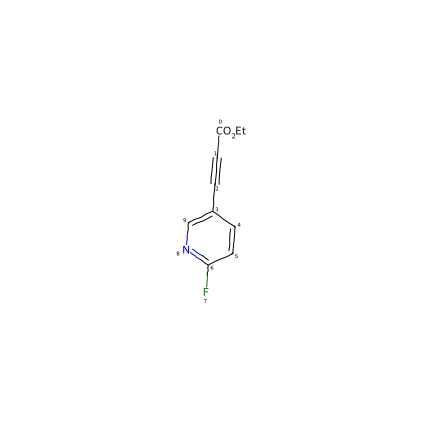 CCOC(=O)C#Cc1ccc(F)nc1